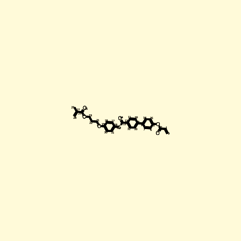 C=CC(=O)Oc1ccc(-c2ccc(C(=O)Sc3ccc(OCCCOC(=O)C(=C)C)cc3)cc2)cc1